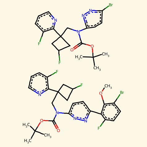 CC(C)(C)OC(=O)N(CC1(c2ncccc2F)CC(F)C1)c1ccc(Br)nn1.COc1c(Br)ccc(F)c1-c1ccc(N(CC2(c3ncccc3F)CC(F)C2)C(=O)OC(C)(C)C)nn1